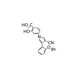 CC(C)Oc1ccccc1-c1cn(-c2ccc(C(=O)O)c(O)c2)cc1C#N